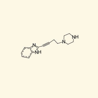 C(#Cc1nc2ccccc2[nH]1)CCN1CCNCC1